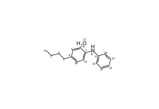 CCCCc1ccc(Nc2ccccc2)cc1.O